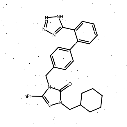 CCCc1nn(CC2CCCCC2)c(=O)n1Cc1ccc(-c2ccccc2-c2nnn[nH]2)cc1